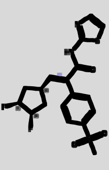 CS(=O)(=O)c1ccc(/C(=C\[C@H]2C[C@@H](F)[C@@H](F)C2)C(=O)Nc2nccs2)cc1